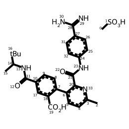 CS(=O)(=O)O.Cc1ccc(-c2ccc(C(=O)NC(C)C(C)(C)C)cc2C(=O)O)c(C(=O)Nc2ccc(C(=N)N)cc2)n1